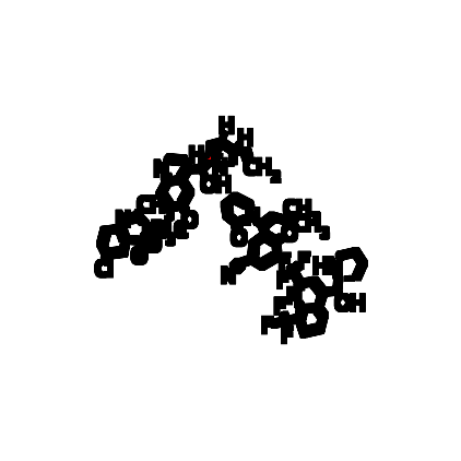 C=C[C@H]1C[N@]2CC[C@H]1C[C@@H]2[C@@H](O)c1ccnc2ccc(OC)cc12.CC1(C)C=C(n2ccccc2=O)c2cc(C#N)ccc2O1.CC1=Nc2ccc(Cl)cc2S(=O)(=O)N1.O[C@@H](c1cc(C(F)(F)F)nc2c(C(F)(F)F)cccc12)[C@H]1CCCCN1